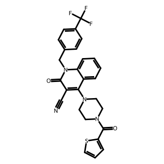 N#Cc1c(N2CCN(C(=O)c3cccs3)CC2)c2ccccc2n(Cc2ccc(C(F)(F)F)cc2)c1=O